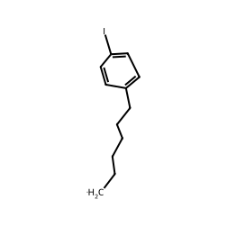 [CH2]CCCCCc1ccc(I)cc1